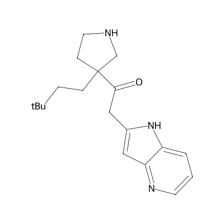 CC(C)(C)CCC1(C(=O)Cc2cc3ncccc3[nH]2)CCNC1